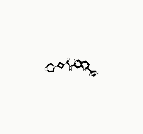 O=C(Nc1cc2nc(-c3cnco3)ccc2cn1)[C@H]1C[C@H](N2CCOCC2)C1